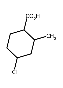 CC1CC(Cl)CCC1C(=O)O